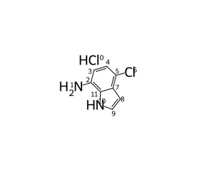 Cl.Nc1ccc(Cl)c2cc[nH]c12